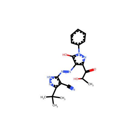 CC(O)C(=O)c1nn(-c2ccccc2)c(O)c1/N=N/c1[nH]nc(C(C)(C)C)c1C#N